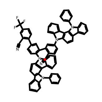 N#Cc1cc(C(F)(F)F)ccc1-c1ccc(-n2c3ccccc3c3c2ccc2c4ccccc4n(-c4ccccc4)c23)c(-c2cc(-n3c4ccccc4c4c3ccc3c5ccccc5n(-c5ccccc5)c34)ccc2C#N)c1